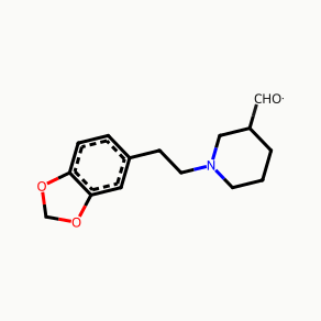 O=[C]C1CCCN(CCc2ccc3c(c2)OCO3)C1